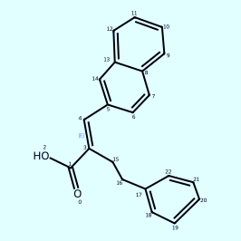 O=C(O)/C(=C/c1ccc2ccccc2c1)CCc1ccccc1